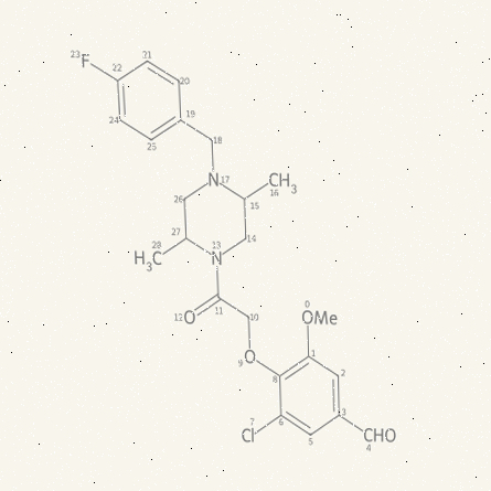 COc1cc(C=O)cc(Cl)c1OCC(=O)N1CC(C)N(Cc2ccc(F)cc2)CC1C